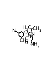 Cc1cc(C#N)cc(Oc2c(C(C)C)nn(CCN)c2C)c1